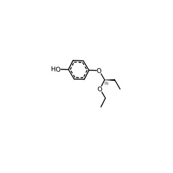 CCO[C@H](CC)Oc1ccc(O)cc1